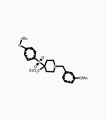 CCCCOc1ccc(S(=O)(=O)C2(C(=O)OCC)CCN(Cc3cccc(OC)c3)CC2)cc1